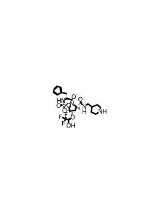 CS(=O)(=O)N[C@H](Cc1ccccc1)C(=O)N1CCC[C@H]1C(=O)NCC1CCNCC1.O=C(O)C(F)(F)F